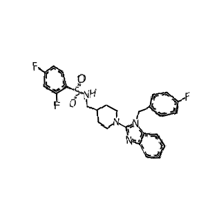 O=S(=O)(NCC1CCN(c2nc3ccccc3n2Cc2ccc(F)cc2)CC1)c1ccc(F)cc1F